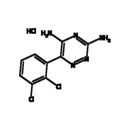 Cl.Nc1nnc(-c2cccc(Cl)c2Cl)c(N)n1